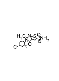 Cc1nc2sc(S(N)(=O)=O)cc2c(=O)n1-c1ccc(Cl)cc1Cl